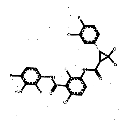 Nc1c(F)ccc(NC(=O)c2c(Cl)ccc(NC(=O)C3[C@H](c4ccc(F)c(Cl)c4)C3(Cl)Cl)c2F)c1F